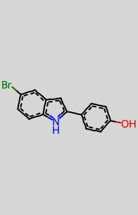 Oc1ccc(-c2cc3cc(Br)ccc3[nH]2)cc1